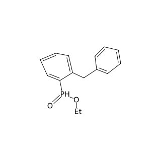 CCO[PH](=O)c1ccccc1Cc1ccccc1